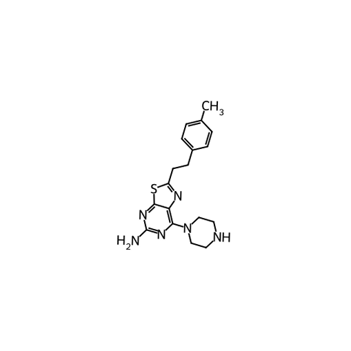 Cc1ccc(CCc2nc3c(N4CCNCC4)nc(N)nc3s2)cc1